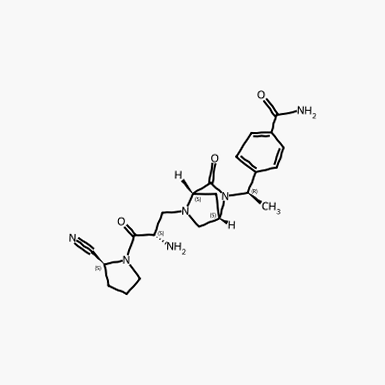 C[C@H](c1ccc(C(N)=O)cc1)N1C(=O)[C@@H]2C[C@H]1CN2C[C@H](N)C(=O)N1CCC[C@H]1C#N